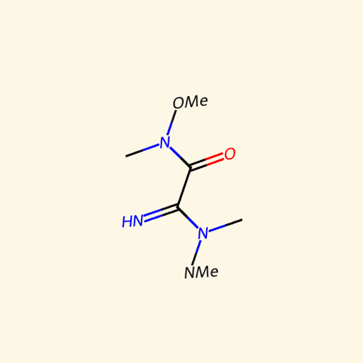 CNN(C)C(=N)C(=O)N(C)OC